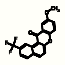 COc1ccc2oc3ccc4ccc(C(F)(F)F)cc4c3c(=O)c2c1